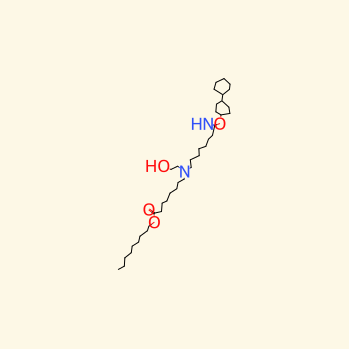 CCCCCCCCCOC(=O)CCCCCCCN(CCO)CCCCCCCC(=N)OC1CCC(C2CCCCC2)CC1